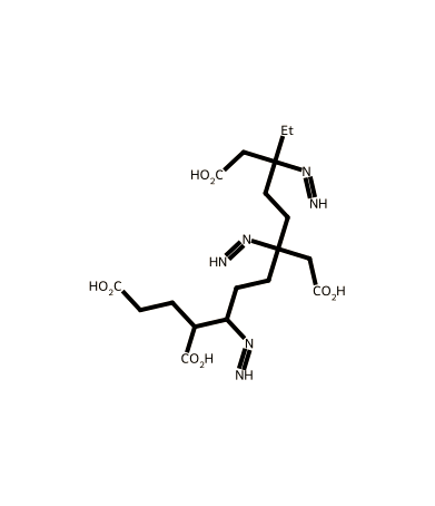 CCC(CCC(CCC(N=N)C(CCC(=O)O)C(=O)O)(CC(=O)O)N=N)(CC(=O)O)N=N